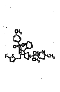 Cc1ccc(S(=O)(=O)NC(c2ccccn2)C2(CCc3ccc(F)s3)CCN(C(C)(C)c3ccc(C)nc3)C2)cc1